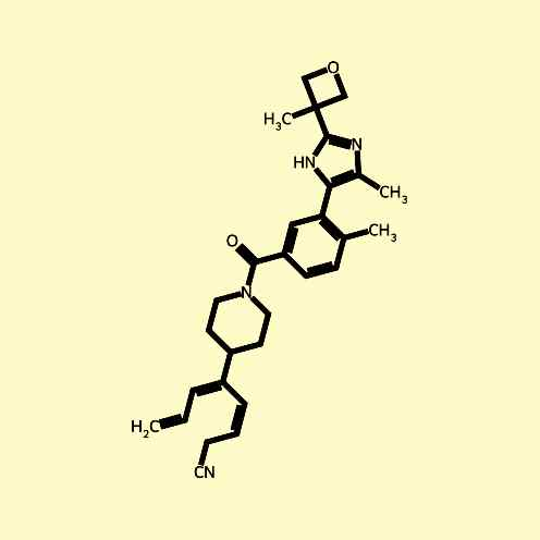 C=C/C=C(\C=C/CC#N)C1CCN(C(=O)c2ccc(C)c(-c3[nH]c(C4(C)COC4)nc3C)c2)CC1